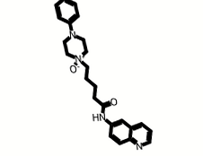 O=C(CCCC[N+]1([O-])CCN(c2ccccc2)CC1)Nc1ccc2ncccc2c1